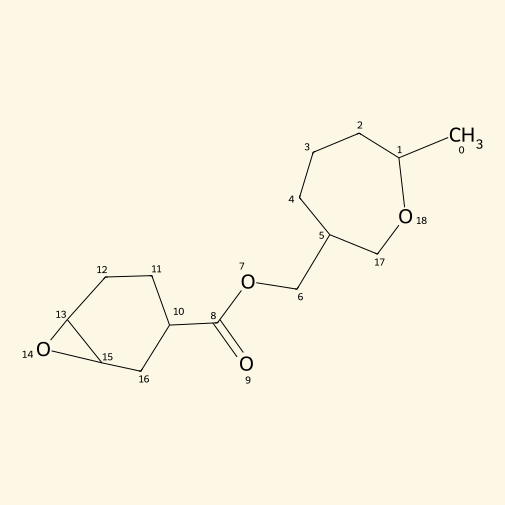 CC1CCCC(COC(=O)C2CCC3OC3C2)CO1